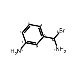 Nc1cccc(C(N)Br)c1